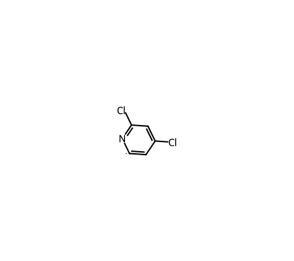 Clc1c[c]nc(Cl)c1